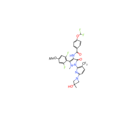 COc1cc(F)c(-c2c(NC(=O)c3ccc(OC(F)F)cc3)c(=O)n(-c3nc(N4CC(C)(O)C4)ccc3C(F)(F)F)n2C)c(F)c1